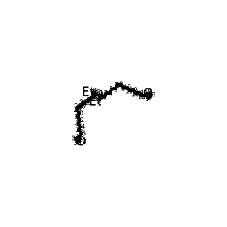 CCC(CCCCC/C=C\CCCCCCCC1CCO1)OC(CC)CCCCC/C=C\CCCCCCCC1CCO1